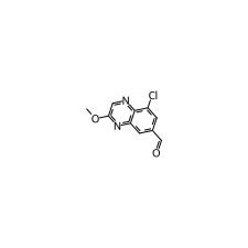 COc1cnc2c(Cl)cc(C=O)cc2n1